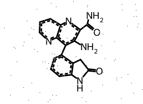 NC(=O)c1nc2cccnc2c(-c2cccc3c2CC(=O)N3)c1N